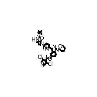 C[C@@H](Oc1ccc2c(c1)c(-c1ccc(N3CC(C)(NC(=O)OC(C)(C)C)C3)nn1)nn2C1CCCCO1)c1c(Cl)cncc1Cl